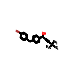 C[Si](C)(C)C#CC(O)c1ccc(Cc2ccc(Br)cc2)cc1